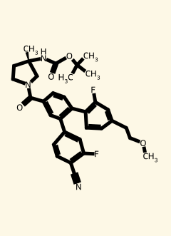 COCCc1ccc(-c2ccc(C(=O)N3CC[C@](C)(NC(=O)OC(C)(C)C)C3)cc2-c2ccc(C#N)c(F)c2)c(F)c1